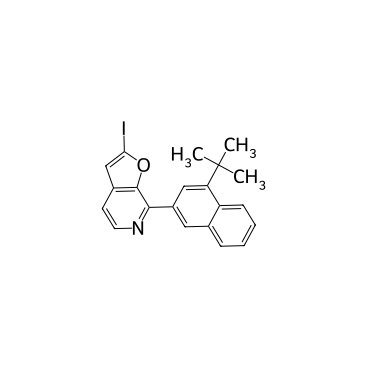 CC(C)(C)c1cc(-c2nccc3cc(I)oc23)cc2ccccc12